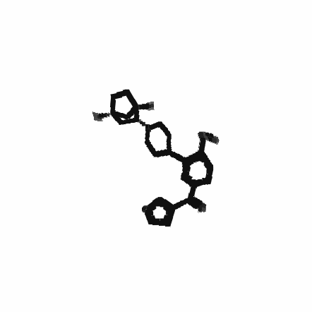 COc1ccc(C(=O)c2ccoc2)cc1C1CCN([C@@H]2C[C@H]3CC[C@H]2C3)CC1